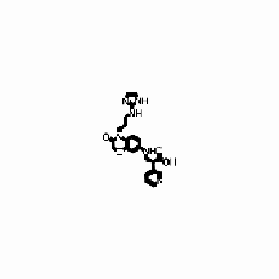 O=C(O)C(CNc1ccc2c(c1)OCC(=O)N2CCCNc1ncc[nH]1)c1cccnc1